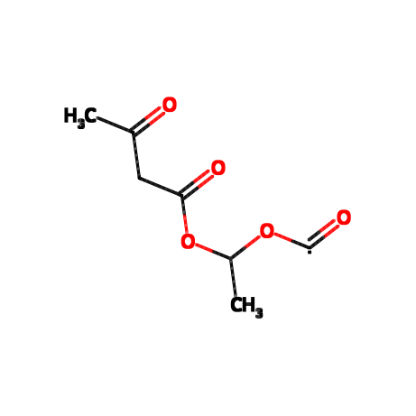 CC(=O)CC(=O)OC(C)O[C]=O